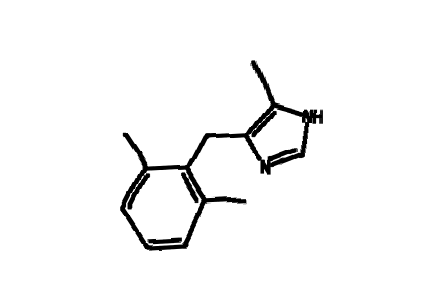 Cc1cccc(C)c1Cc1nc[nH]c1C